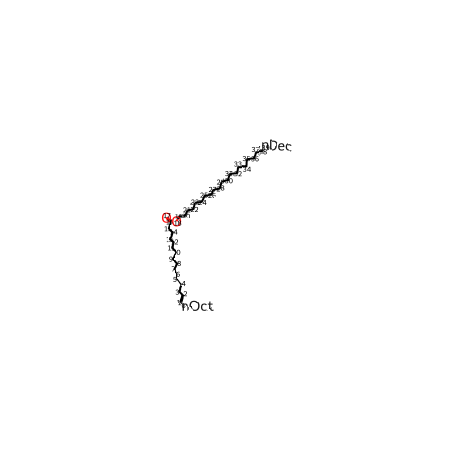 CCCCCCCCC=CCCCCCCCCCCCCCC(=O)OCCCCCCCCCCCCCCCCCCCCCCCCCCCCCC